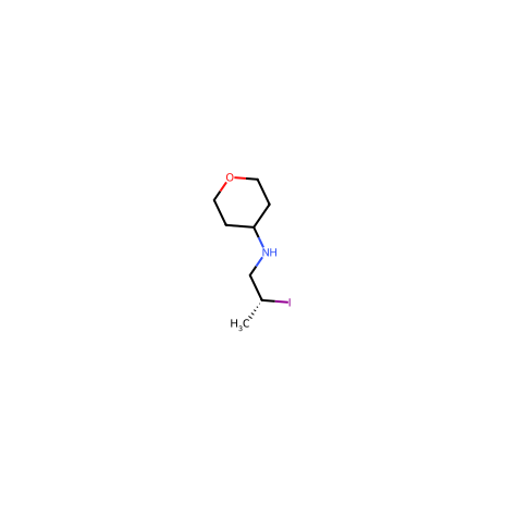 C[C@@H](I)CNC1CCOCC1